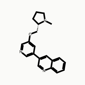 CN1CCC[C@H]1COc1cncc(-c2cnc3ccccc3c2)c1